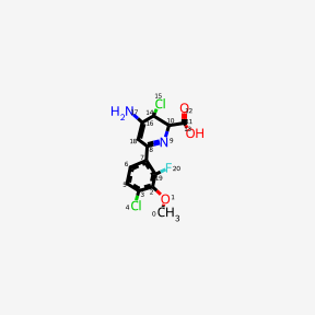 COc1c(Cl)ccc(C2=NC(C(=O)O)C(Cl)C(N)=C2)c1F